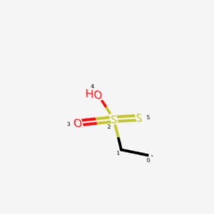 [CH2]CS(=O)(O)=S